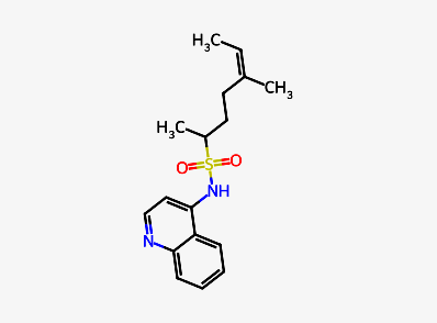 C/C=C(/C)CCC(C)S(=O)(=O)Nc1ccnc2ccccc12